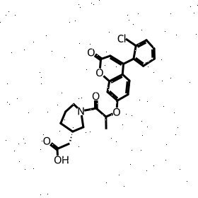 CC(Oc1ccc2c(-c3ccccc3Cl)cc(=O)oc2c1)C(=O)N1CCC[C@@H](CC(=O)O)C1